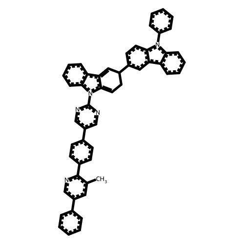 Cc1cc(-c2ccccc2)cnc1-c1ccc(-c2cnc(-n3c4c(c5ccccc53)=CC(c3ccc5c(c3)c3ccccc3n5-c3ccccc3)CC=4)nc2)cc1